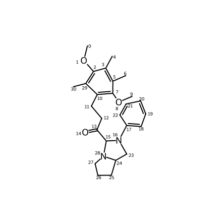 COc1c(C)c(C)c(OC)c(CCC(=O)C2N(c3ccccc3)CC3CCCN32)c1C